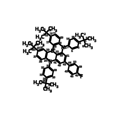 CC(C)(C)c1ccc(N2c3ccc(C(C)(C)C)cc3B3c4cc(C(C)(C)C)ccc4N(c4ccc(C(C)(C)C)cc4)c4cc(-c5ccc(F)cc5)cc2c43)cc1